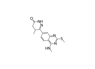 CNc1nc(SC)nc2cc(C3=NNC(=O)CC3C)ccc12